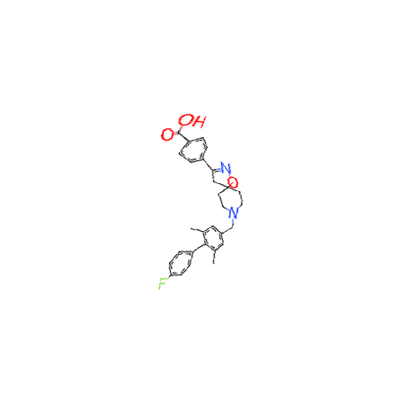 Cc1cc(CN2CCC3(CC2)CC(c2ccc(C(=O)O)cc2)=NO3)cc(C)c1-c1ccc(F)cc1